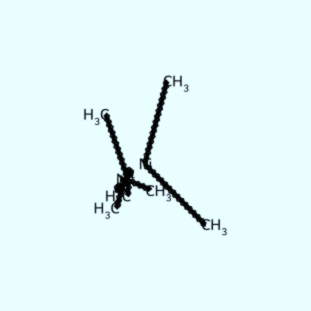 CCCCCCCCCCCCCCCCCCCCCCCCCCCCC[CH2][Ni][CH2]CCCCCCCCCCCCCCCCCCCCCCCCCCCCC.CCCCCCCCCCCCCCCCCCCCCc1cccc(C2=C(CCCCCCCC)C(CCCC)=C(c3cccc(CCCCCC)c3)[N+]2=[N-])c1